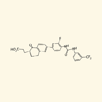 O=C(O)CCC1CCc2cc(-c3ccc(NC(=O)Nc4cccc(C(F)(F)F)c4)c(F)c3)ccc2C1=O